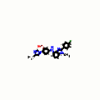 Cc1cn(-c2ccc(Nc3cccc4c3nc(-c3ccc(F)cc3)n4C)cc2O)cn1